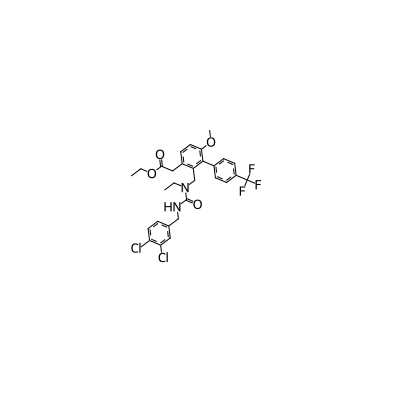 CCOC(=O)Cc1ccc(OC)c(-c2ccc(C(F)(F)F)cc2)c1CN(CC)C(=O)NCc1ccc(Cl)c(Cl)c1